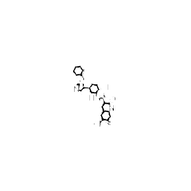 CC(Nc1cccc(-c2cncn2Cc2ccccc2)c1)c1cc2cc(Cl)c(F)cc2[nH]c1=O